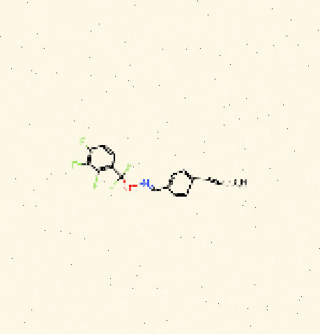 O=C(O)C=Cc1ccc(C=NOC(F)(F)c2ccc(F)c(F)c2F)cc1